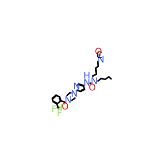 CCCCCN(CCCCCN=C=O)C(=O)Nc1ccc(N2CCN(C(=O)c3ccccc3C(F)(F)F)CC2)nc1